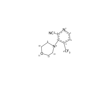 N#Cc1nccc(C(F)(F)F)c1N1CCOCC1